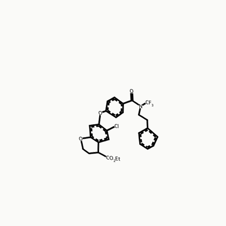 CCOC(=O)C1CCOc2cc(Oc3ccc(C(=O)N(CCc4ccccc4)C(F)(F)F)cc3)c(Cl)cc21